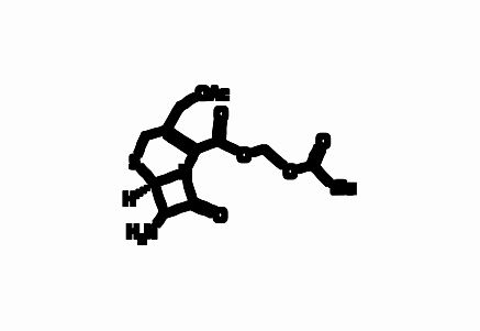 CC(=O)OCC1=C(C(=O)OCOC(=O)C(C)(C)C)N2C(=O)C(N)[C@H]2SC1